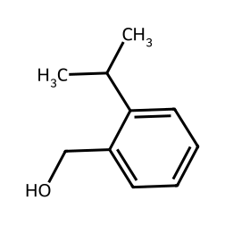 CC(C)c1ccccc1CO